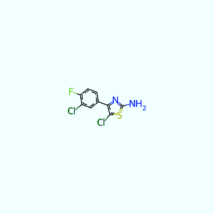 Nc1nc(-c2ccc(F)c(Cl)c2)c(Cl)s1